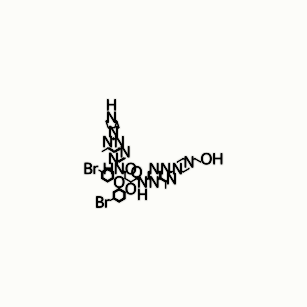 Cc1nc(N2CCN(CCO)CC2)nc2ncc(NC(=O)C(Oc3ccc(Br)cc3)C(Oc3ccc(Br)cc3)C(=O)Nc3cnc4nc(N5CC6CC5CN6)nc(C)c4n3)nc12